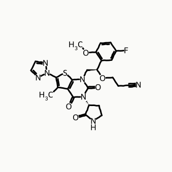 COc1ccc(F)cc1[C@H](Cn1c(=O)n([C@@H]2CCNC2=O)c(=O)c2c(C)c(-n3nccn3)sc21)OCCC#N